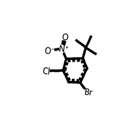 CC(C)(C)c1cc(Br)cc(Cl)c1[N+](=O)[O-]